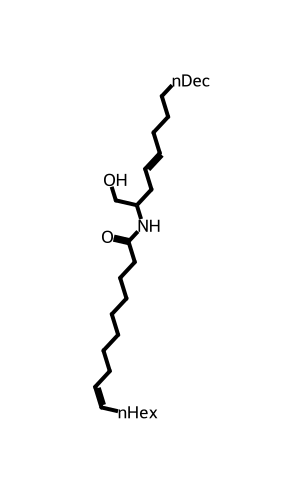 CCCCCC/C=C\CCCCCCCC(=O)NC(CO)C/C=C/CCCCCCCCCCCCC